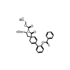 CCCCCCCCCCCCC1(C(=O)OC(=O)OC[C@@H](C)CC)C=CC(c2ccccc2OC(=S)c2ccccc2)=CC1